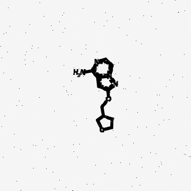 Nc1nccn2nc(OCC3CCOC3)cc12